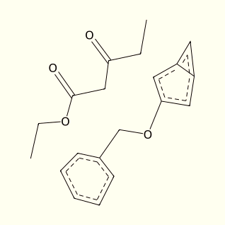 CCOC(=O)CC(=O)CC.c1ccc(COc2cc3cc-3c2)cc1